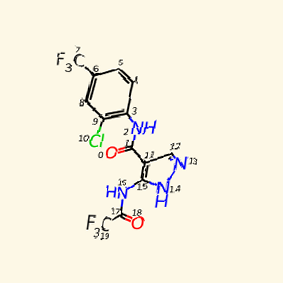 O=C(Nc1ccc(C(F)(F)F)cc1Cl)c1cn[nH]c1NC(=O)C(F)(F)F